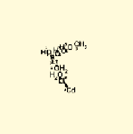 CCO.O.O.O.O.O.O.[Cl][Gd]